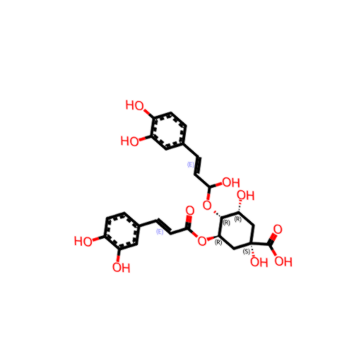 O=C(/C=C/c1ccc(O)c(O)c1)O[C@@H]1C[C@](O)(C(=O)O)C[C@@H](O)[C@H]1OC(O)/C=C/c1ccc(O)c(O)c1